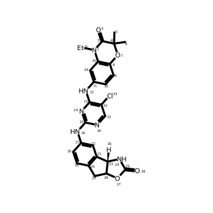 CCN1C(=O)C(C)(C)Oc2ccc(Nc3nc(Nc4ccc5c(c4)[C@@H]4NC(=O)OC4C5)ncc3Cl)cc21